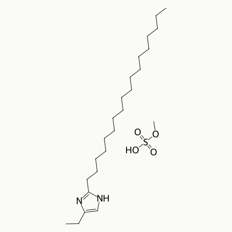 CCCCCCCCCCCCCCCCCCc1nc(CC)c[nH]1.COS(=O)(=O)O